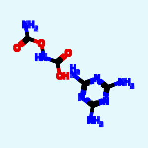 NC(=O)ONC(=O)O.Nc1nc(N)nc(N)n1